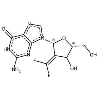 Nc1nc2c(ncn2[C@@H]2O[C@H](CO)C(O)C2=C(F)F)c(=O)[nH]1